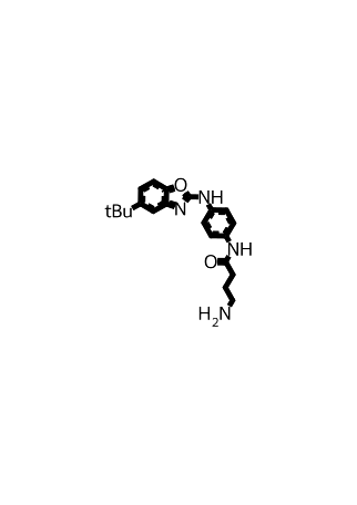 CC(C)(C)c1ccc2oc(Nc3ccc(NC(=O)CCCN)cc3)nc2c1